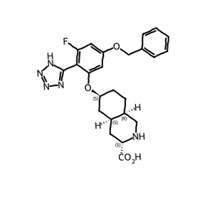 O=C(O)[C@@H]1C[C@H]2C[C@@H](Oc3cc(OCc4ccccc4)cc(F)c3-c3nnn[nH]3)CC[C@H]2CN1